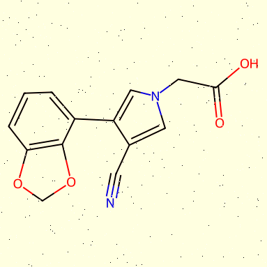 N#Cc1cn(CC(=O)O)cc1-c1cccc2c1OCO2